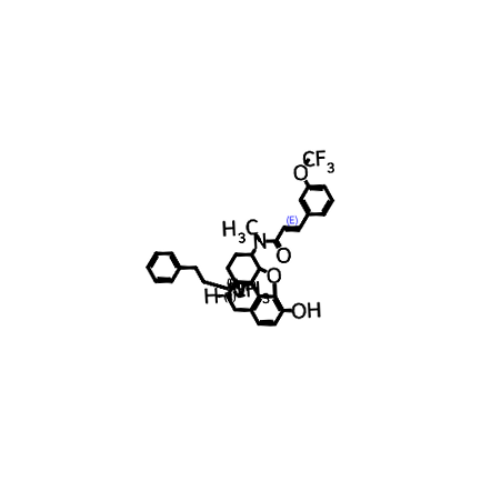 CN(C(=O)/C=C/c1cccc(OC(F)(F)F)c1)C1CC[C@@]2(C)[C@H]3Cc4ccc(O)c5c4[C@@]2(CCN3CCc2ccccc2)C1O5